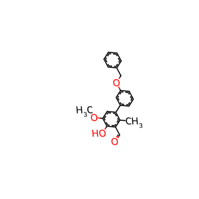 COc1cc(-c2cccc(OCc3ccccc3)c2)c(C)c(C=O)c1O